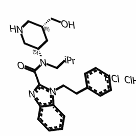 CC(C)CN(C(=O)c1nc2ccccc2n1CCc1ccccc1)[C@@H]1CNC[C@H](CO)C1.Cl.Cl